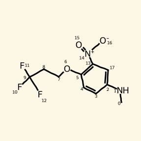 CNc1ccc(OCCC(F)(F)F)c([N+](=O)[O-])c1